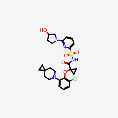 O=C(NS(=O)(=O)c1cccc(N2CCC(O)C2)n1)C1(Oc2c(Cl)cccc2N2CCC3(CC2)CC3)CC1